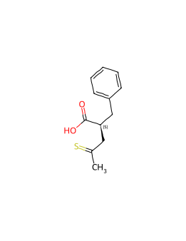 CC(=S)C[C@H](Cc1ccccc1)C(=O)O